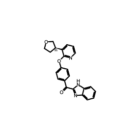 O=C(c1ccc(Oc2ncccc2[C@H]2CCOC2)cc1)c1nc2ccccc2[nH]1